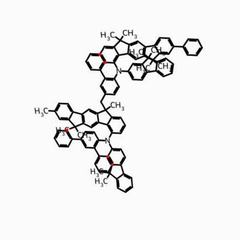 Cc1ccc2c(c1)C(C)(C)c1cc3c(cc1-2)C(C)(Cc1ccc(N(c2ccc4c(c2)C(C)(C)c2ccccc2-4)c2cccc4c2-c2cc5c(cc2C4(C)C)-c2ccc(-c4ccccc4)cc2C5(C)C)c(-c2ccccc2)c1)c1cccc(N(c2ccc4c(c2)C(C)(C)c2ccccc2-4)c2ccc(-c4ccccc4)cc2-c2ccccc2)c1-3